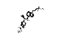 CC(C)(C)OC(=O)n1cc2c(n1)CCC(N(C(=O)c1cccc3c1ccn3CCCS(C)(=O)=O)C1CC1)C2